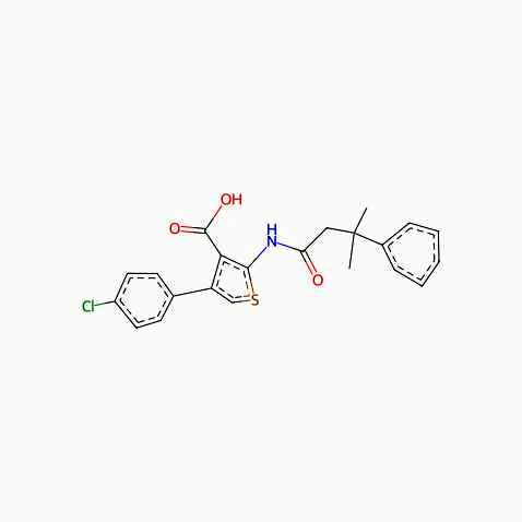 CC(C)(CC(=O)Nc1scc(-c2ccc(Cl)cc2)c1C(=O)O)c1ccccc1